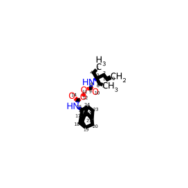 C=CCC(CC)(CC)NC(=O)OOC(=O)NC1C2CC3CC(C2)CC1C3